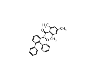 Cc1cc(C)c(C(=O)[P](=O)c2cccc(-c3ccccc3)c2-c2ccccc2)c(C)c1